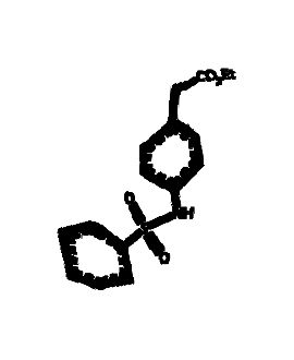 CCOC(=O)Cc1ccc(NS(=O)(=O)c2ccccc2)cc1